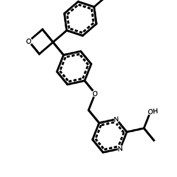 Cc1ccc(C2(c3ccc(OCc4ccnc(C(C)O)n4)cc3)COC2)cc1